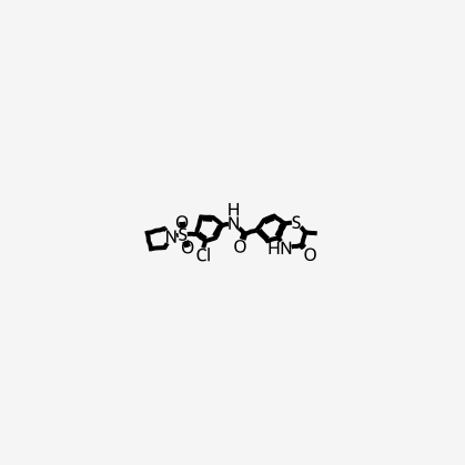 CC1Sc2ccc(C(=O)Nc3ccc(S(=O)(=O)N4CCCC4)c(Cl)c3)cc2NC1=O